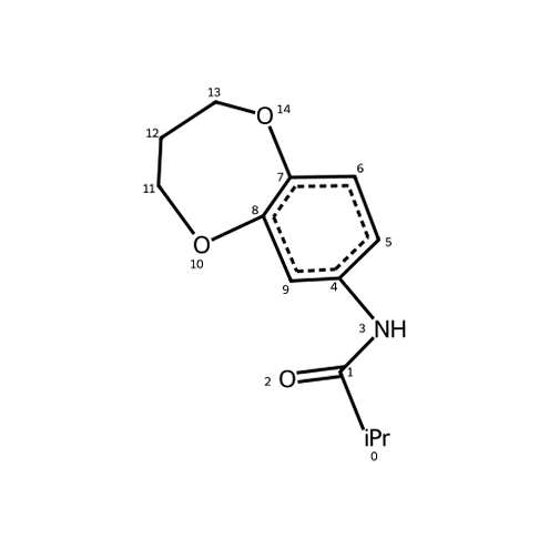 CC(C)C(=O)Nc1ccc2c(c1)OCCCO2